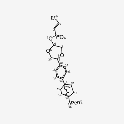 CC/C=C/C(=O)OC1COC(c2ccc(C34CCC(CCCCC)(CC3)CC4)cc2)CO1